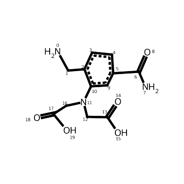 NCc1ccc(C(N)=O)cc1N(CC(=O)O)CC(=O)O